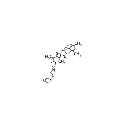 Cc1cc(C)c(CN2CCc3sc([C@H](C)C4CCC(N5CC(O[C@@H]6CCOC6)C5)CC4)c(C)c3C2=O)c(=O)[nH]1